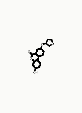 O=c1oc2cc(O)ccc2c2ccc(OC3CCOC3)cc12